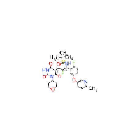 Cc1ccc(Oc2ccc(F)c([C@H](N[S@+]([O-])C(C)(C)C)[C@@H](F)C[C@@H]3C(=O)NC(=O)N(C4CCOCC4)C3=O)c2)cn1